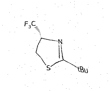 CC(C)(C)C1=N[C@@H](C(F)(F)F)CS1